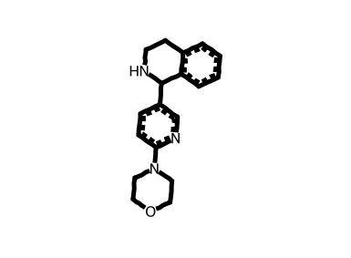 c1ccc2c(c1)CCNC2c1ccc(N2CCOCC2)nc1